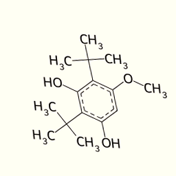 COc1cc(O)c(C(C)(C)C)c(O)c1C(C)(C)C